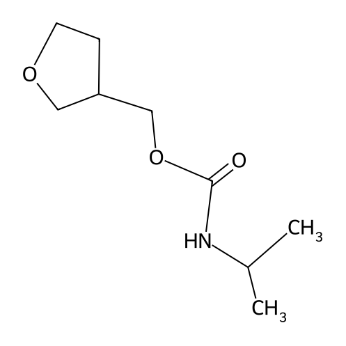 CC(C)NC(=O)OCC1CCOC1